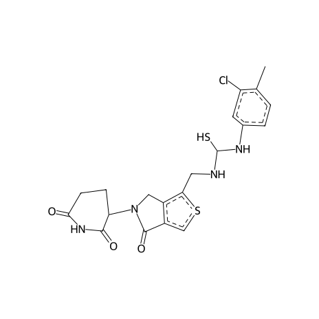 Cc1ccc(NC(S)NCc2scc3c2CN(C2CCC(=O)NC2=O)C3=O)cc1Cl